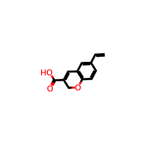 C=Cc1ccc2c(c1)C=C(C(=O)O)CO2